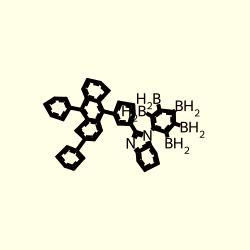 Bc1c(B)c(B)c(-n2c(-c3cccc(-c4c5ccccc5c(-c5ccccc5)c5cc(-c6ccccc6)ccc45)c3)nc3ccccc32)c(B)c1B